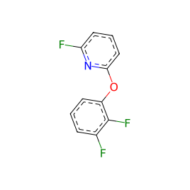 Fc1cccc(Oc2cccc(F)c2F)n1